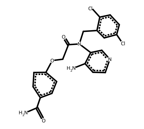 NC(=O)c1ccc(OCC(=O)N(Cc2cc(Cl)ccc2Cl)c2cnccc2N)cc1